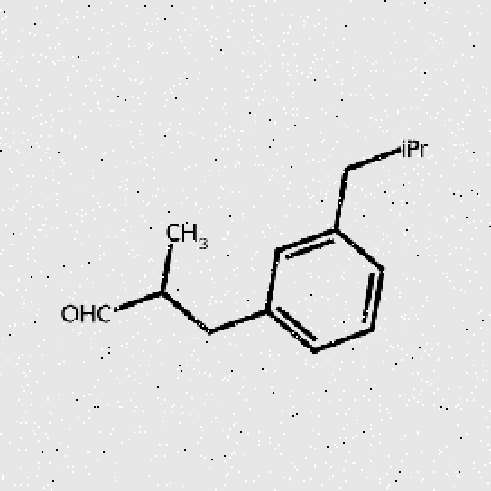 CC(C)Cc1cccc(CC(C)C=O)c1